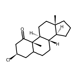 C[C@@]12CCC[C@H]1[C@@H]1CCC3C[C@@H](Cl)CC(=O)[C@]3(C)[C@H]1CC2